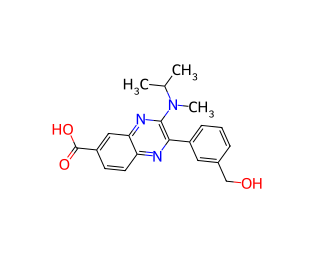 CC(C)N(C)c1nc2cc(C(=O)O)ccc2nc1-c1cccc(CO)c1